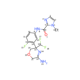 CCn1ccnc1C(=O)Nc1ccc(F)c(C2(C(F)F)COCC(N)=N2)c1